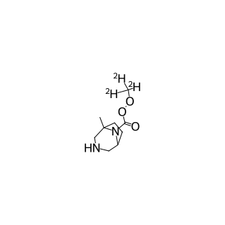 [2H]C([2H])([2H])OOC(=O)N1C2CCC1(C)CNC2